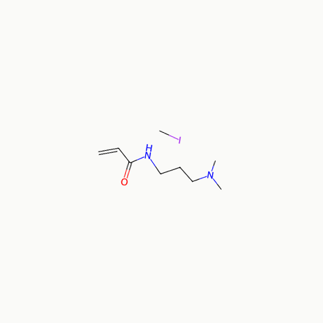 C=CC(=O)NCCCN(C)C.CI